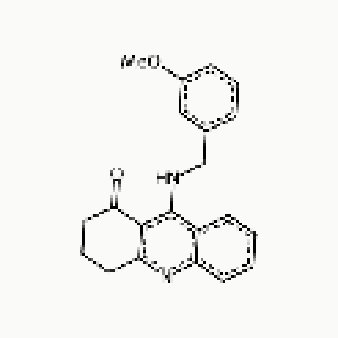 COc1cccc(CNc2c3c(nc4ccccc24)CCCC3=O)c1